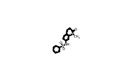 Cn1c(=O)ccc2ccc(NS(=O)(=O)c3ccccc3)cc21